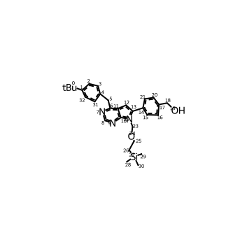 CC(C)(C)c1ccc(Cc2ncnc3c2cc(-c2ccc(CO)cc2)n3COCC[Si](C)(C)C)cc1